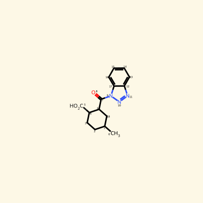 CC1CCC(C(=O)O)C(C(=O)n2nnc3ccccc32)C1